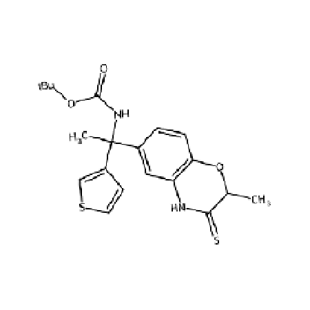 CC1Oc2ccc(C(C)(NC(=O)OC(C)(C)C)c3ccsc3)cc2NC1=S